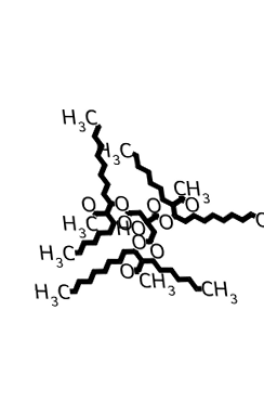 CCCCCCCCCC(OC(=O)CC(O)(CC(=O)OC(CCCCCCCCC)C(CCCCCCC)C(C)=O)C(=O)OC(CCCCCCCCC)C(CCCCCCC)C(C)=O)C(CCCCCCC)C(C)=O